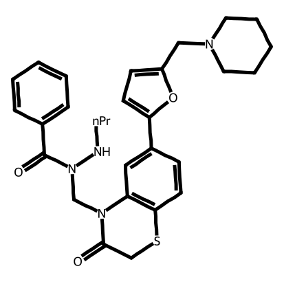 CCCNN(CN1C(=O)CSc2ccc(-c3ccc(CN4CCCCC4)o3)cc21)C(=O)c1ccccc1